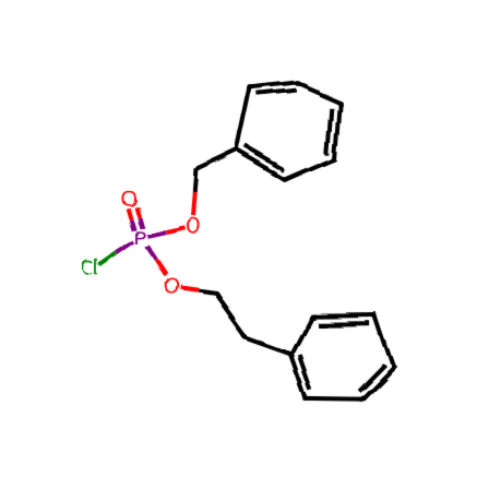 O=P(Cl)(OCCc1ccccc1)OCc1ccccc1